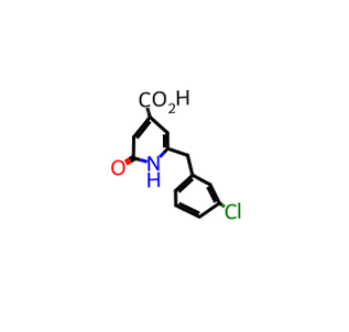 O=C(O)c1cc(Cc2cccc(Cl)c2)[nH]c(=O)c1